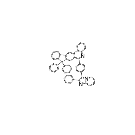 c1ccc(-c2nc3ccccn3c2-c2ccc(-c3nc4ccccc4c4cc5c(cc34)C(c3ccccc3)(c3ccccc3)c3ccccc3-5)cc2)cc1